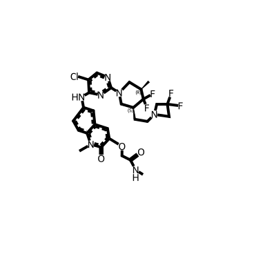 CNC(=O)COc1cc2cc(Nc3nc(N4C[C@H](CCN5CC(F)(F)C5)C(F)(F)[C@H](C)C4)ncc3Cl)ccc2n(C)c1=O